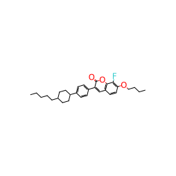 CCCCCC1CCC(c2ccc(-c3cc4ccc(OCCCC)c(F)c4oc3=O)cc2)CC1